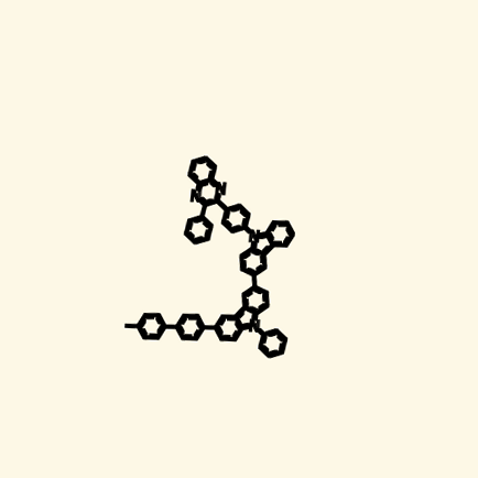 Cc1ccc(-c2ccc(-c3ccc4c(c3)c3cc(-c5ccc6c(c5)c5ccccc5n6-c5ccc(-c6nc7ccccc7nc6-c6ccccc6)cc5)ccc3n4-c3ccccc3)cc2)cc1